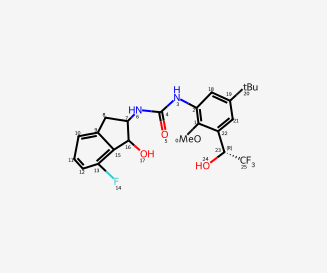 COc1c(NC(=O)NC2Cc3cccc(F)c3C2O)cc(C(C)(C)C)cc1[C@@H](O)C(F)(F)F